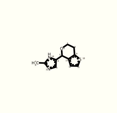 Cc1ncc(C2OCCc3sccc32)[nH]1